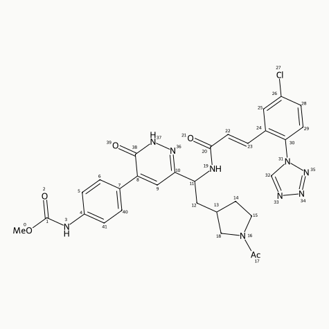 COC(=O)Nc1ccc(-c2cc(C(CC3CCN(C(C)=O)C3)NC(=O)/C=C/c3cc(Cl)ccc3-n3cnnn3)n[nH]c2=O)cc1